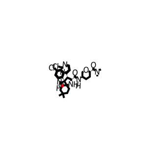 CN(C)C(=O)[C@@H]1CC[C@@H](NC(=O)[C@@H]2NC3(CCC(C)(C)CC3)[C@@]3(C(=O)Nc4cc(Cl)ccc43)[C@@H]2c2ccnc(Cl)n2)CO1